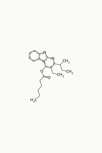 CCCCCC(=O)Oc1c(CC)c(C(C)CC)nc2nc3ccccc3n12